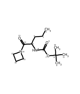 CCCC(NC(=O)OC(C)(C)C)C(=O)N1CCC1